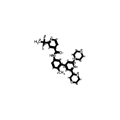 Cc1ccc(NC(=O)c2ccnc(C(C)(F)F)c2)cc1-c1cc(C2COCCO2)nc(N2CCOCC2)c1